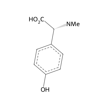 CN[C@@H](C(=O)O)c1ccc(O)cc1